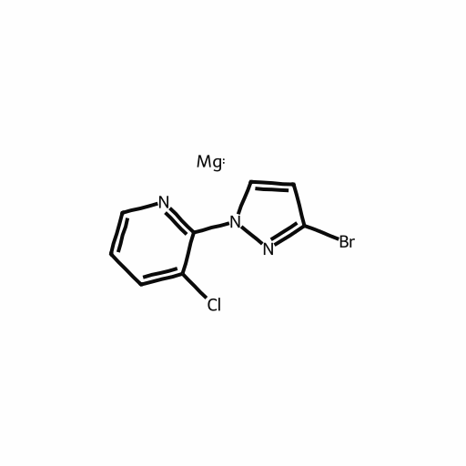 Clc1cccnc1-n1ccc(Br)n1.[Mg]